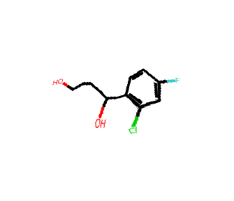 OCCC(O)c1ccc(F)cc1Cl